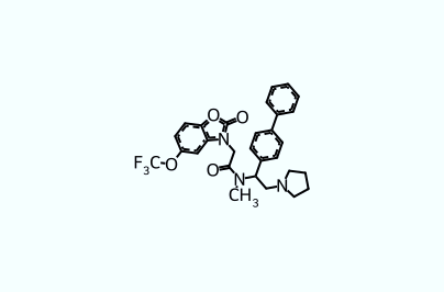 CN(C(=O)Cn1c(=O)oc2ccc(OC(F)(F)F)cc21)C(CN1CCCC1)c1ccc(-c2ccccc2)cc1